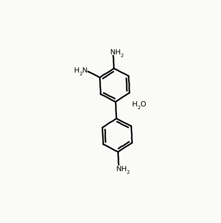 Nc1ccc(-c2ccc(N)c(N)c2)cc1.O